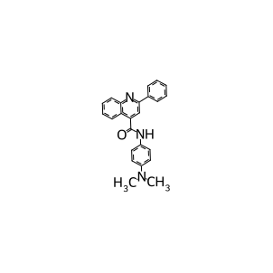 CN(C)c1ccc(NC(=O)c2cc(-c3ccccc3)nc3ccccc23)cc1